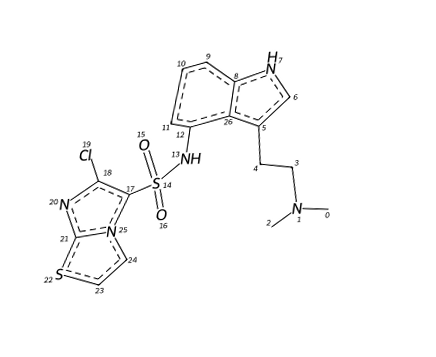 CN(C)CCc1c[nH]c2cccc(NS(=O)(=O)c3c(Cl)nc4sccn34)c12